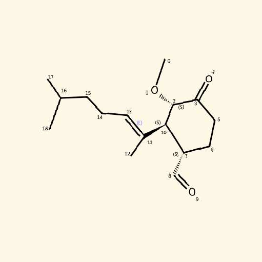 CO[C@@H]1C(=O)CC[C@H](C=O)[C@H]1/C(C)=C/CCC(C)C